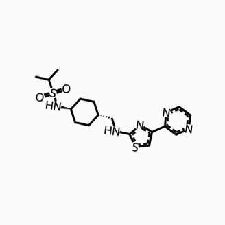 CC(C)S(=O)(=O)N[C@H]1CC[C@H](CNc2nc(-c3cnccn3)cs2)CC1